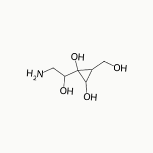 NCC(O)C1(O)C(O)C1CO